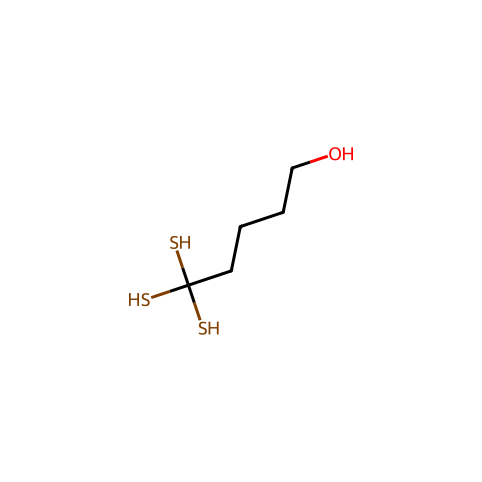 OCCCCC(S)(S)S